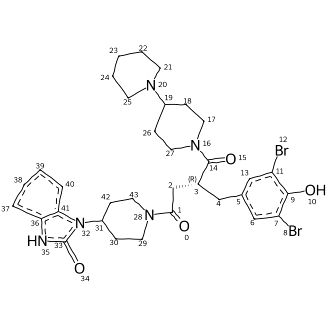 O=C(C[C@@H](Cc1cc(Br)c(O)c(Br)c1)C(=O)N1CCC(N2CCCCC2)CC1)N1CCC(n2c(=O)[nH]c3ccccc32)CC1